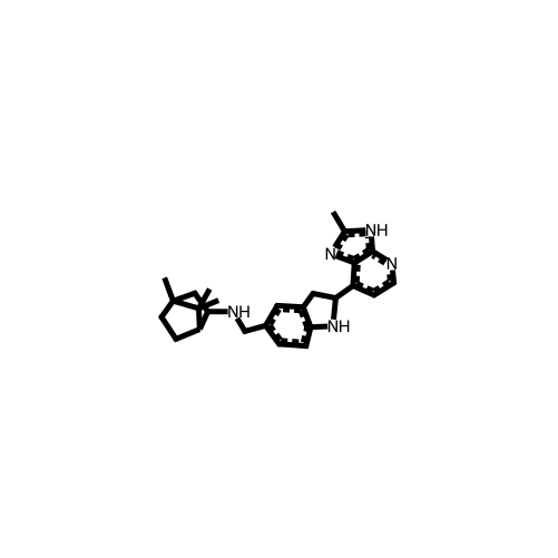 Cc1nc2c(C3Cc4cc(CNC5CC6(C)CCC5C6(C)C)ccc4N3)ccnc2[nH]1